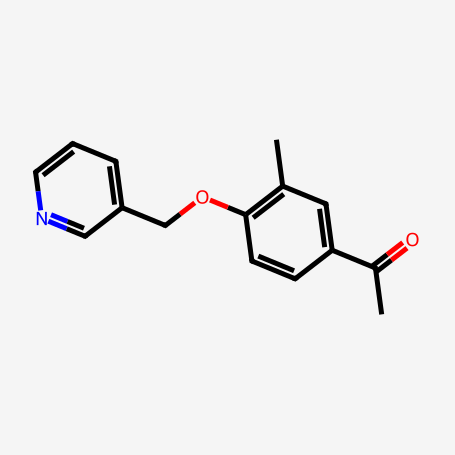 CC(=O)c1ccc(OCc2cccnc2)c(C)c1